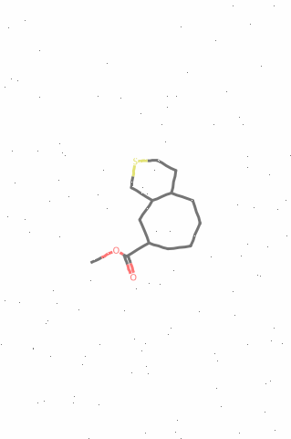 COC(=O)C1CCCCC2CCSCC2C1